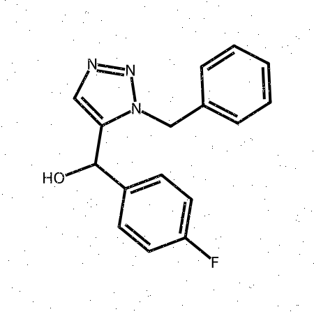 OC(c1ccc(F)cc1)c1cnnn1Cc1ccccc1